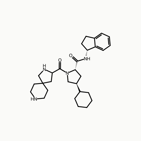 O=C(N[C@@H]1CCc2ccccc21)[C@@H]1C[C@@H](C2CCCCC2)CN1C(=O)C1CC2(CCNCC2)CN1